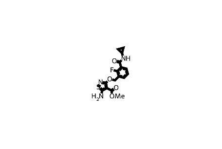 COC(=O)c1c(OCc2cccc(C(=O)NC3CC3)c2F)nsc1N